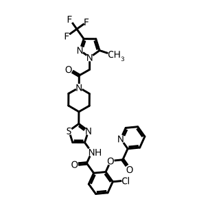 Cc1cc(C(F)(F)F)nn1CC(=O)N1CCC(c2nc(NC(=O)c3cccc(Cl)c3OC(=O)c3ccccn3)cs2)CC1